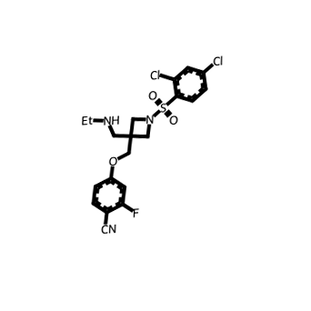 CCNCC1(COc2ccc(C#N)c(F)c2)CN(S(=O)(=O)c2ccc(Cl)cc2Cl)C1